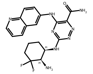 NC(=O)c1nnc(N[C@@H]2CCCC(F)(F)[C@@H]2N)nc1Nc1ccc2ncccc2c1